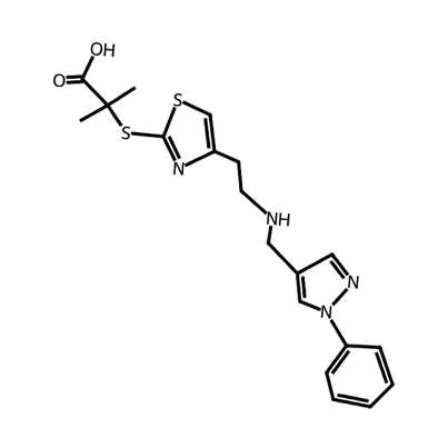 CC(C)(Sc1nc(CCNCc2cnn(-c3ccccc3)c2)cs1)C(=O)O